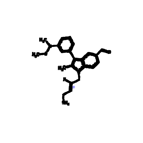 CSN(C)c1cccc(-c2c(C)n(C/C(F)=C/CN)c3ccc(C=O)cc23)c1